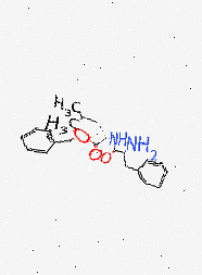 CC(C)C[C@H](NC(=O)[C@@H](N)Cc1ccccc1)C(=O)OCc1ccccc1